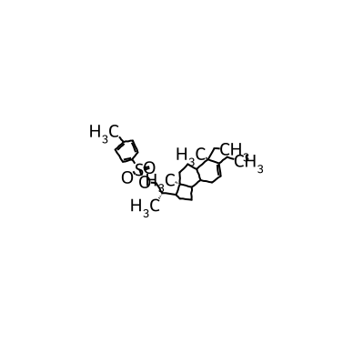 CCC1=CCC2C3CCC([C@H](C)COS(=O)(=O)c4ccc(C)cc4)[C@@]3(C)CCC2[C@@]1(C)CC